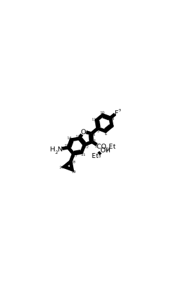 CCO.CCOC(=O)c1c(-c2ccc(F)cc2)oc2cc(N)c(C3CC3)cc12